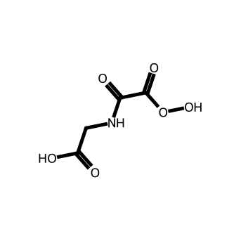 O=C(O)CNC(=O)C(=O)OO